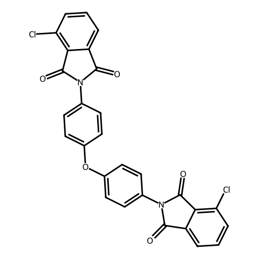 O=C1c2cccc(Cl)c2C(=O)N1c1ccc(Oc2ccc(N3C(=O)c4cccc(Cl)c4C3=O)cc2)cc1